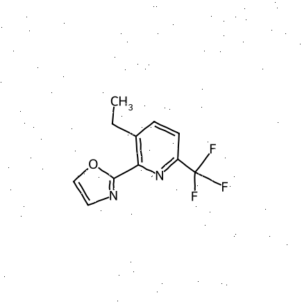 CCc1ccc(C(F)(F)F)nc1-c1ncco1